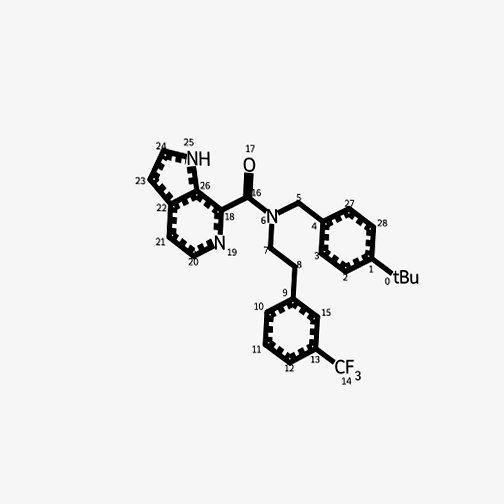 CC(C)(C)c1ccc(CN(CCc2cccc(C(F)(F)F)c2)C(=O)c2nccc3cc[nH]c23)cc1